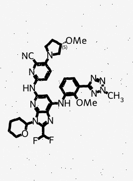 COc1c(Nc2cc(Nc3ccc(N4CC[C@H](OC)C4)c(C#N)n3)nc3c2nc(C(F)F)n3C2CCCCO2)cccc1-c1nnn(C)n1